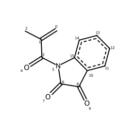 C=C(C)C(=O)N1C(=O)C(=O)c2ccccc21